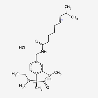 CCN(C)[C@@](C)(C(=O)O)c1ccc(CNC(=O)CCCC/C=C/C(C)C)cc1OC.Cl